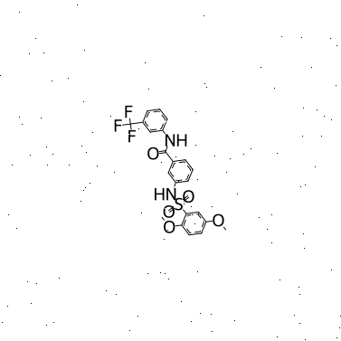 COc1ccc(OC)c(S(=O)(=O)Nc2cccc(C(=O)Nc3cccc(C(F)(F)F)c3)c2)c1